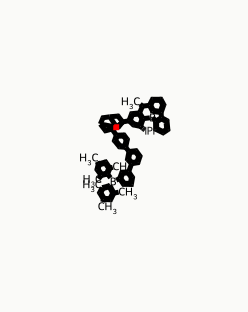 Cc1cc(C)c(B(c2cccc(-c3cccc(-c4ccc(C56CC7CC(C5)CC(c5cc(C(C)C)c8c(c5)C(C)c5cccc9c5B8c5ccccc5-9)(C7)C6)cc4)c3)c2)c2c(C)cc(C)cc2C)c(C)c1